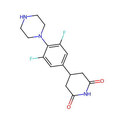 O=C1CC(c2cc(F)c(N3CCNCC3)c(F)c2)CC(=O)N1